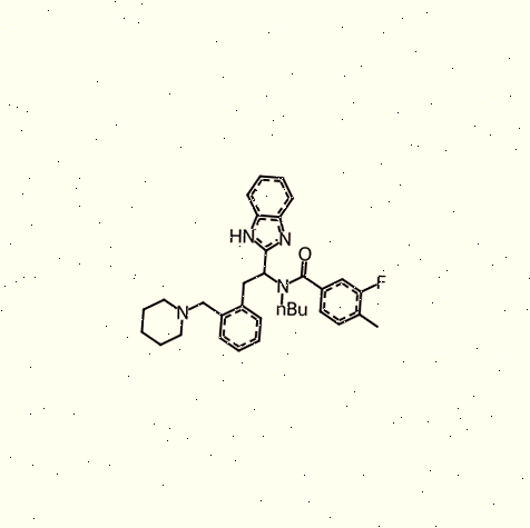 CCCCN(C(=O)c1ccc(C)c(F)c1)C(Cc1ccccc1CN1CCCCC1)c1nc2ccccc2[nH]1